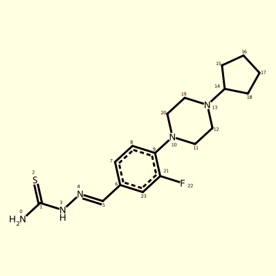 NC(=S)NN=Cc1ccc(N2CCN(C3CCCC3)CC2)c(F)c1